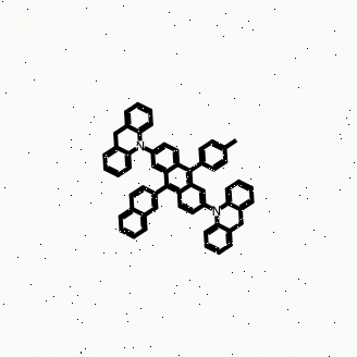 Cc1ccc(-c2c3ccc(N4c5ccccc5Cc5ccccc54)cc3c(-c3ccc4ccccc4c3)c3ccc(N4c5ccccc5Cc5ccccc54)cc23)cc1